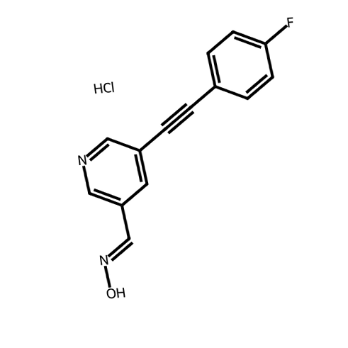 Cl.O/N=C/c1cncc(C#Cc2ccc(F)cc2)c1